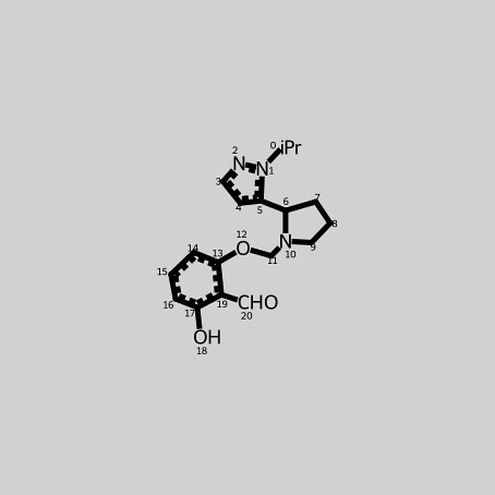 CC(C)n1nccc1C1CCCN1COc1cccc(O)c1C=O